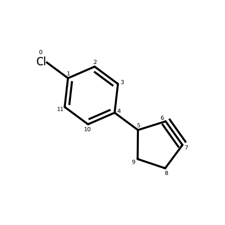 Clc1ccc(C2C#CCC2)cc1